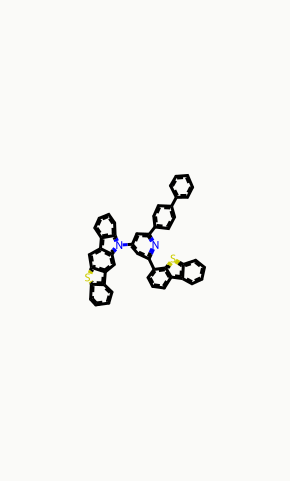 c1ccc(-c2ccc(-c3cc(-n4c5ccccc5c5cc6sc7ccccc7c6cc54)cc(-c4cccc5c4sc4ccccc45)n3)cc2)cc1